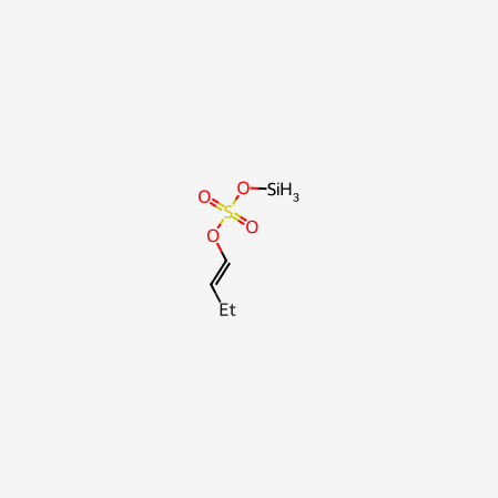 CCC=COS(=O)(=O)O[SiH3]